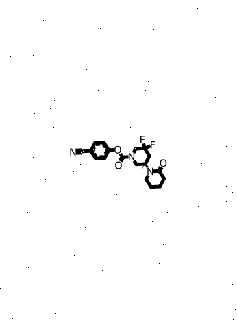 N#Cc1ccc(OC(=O)N2C[C@H](N3CCCCC3=O)CC(F)(F)C2)cc1